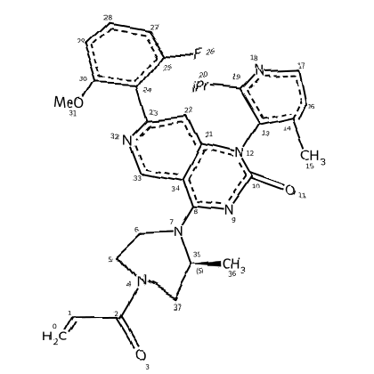 C=CC(=O)N1CCN(c2nc(=O)n(-c3c(C)ccnc3C(C)C)c3cc(-c4c(F)cccc4OC)ncc23)[C@@H](C)C1